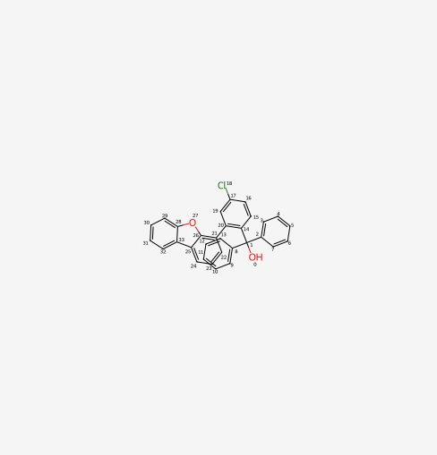 OC(c1ccccc1)(c1ccccc1)c1ccc(Cl)cc1-c1cccc2c1oc1ccccc12